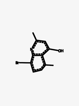 Cc1cc(O)c2c(C)ccc(Br)c2n1